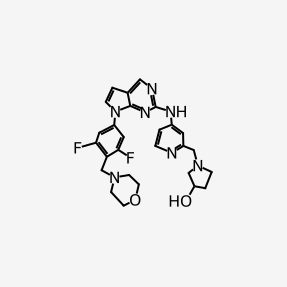 OC1CCN(Cc2cc(Nc3ncc4ccn(-c5cc(F)c(CN6CCOCC6)c(F)c5)c4n3)ccn2)C1